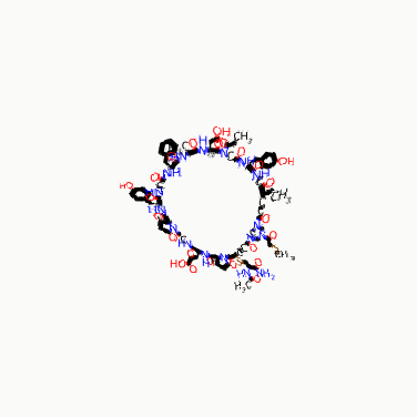 CCCN1CC(=O)N[C@@H](Cc2ccc(O)cc2)C(=O)NCC(=O)C(CC)CCC(=O)N2CN(CN(C(=O)CSC)C2)C(=O)CCC(SCC(NC(C)=O)C(N)=O)C(=O)N2CCC[C@H]2C(=O)N[C@@H](CCC(=O)O)C(=O)NCC(=O)N2CCC[C@H]2C(=O)N[C@@H](Cc2ccc(O)cc2)C(=O)NCC(=O)N[C@@H](Cc2ccccc2)C(=O)N[C@@H](C)C(=O)N[C@@H](CC(=O)O)C1=O